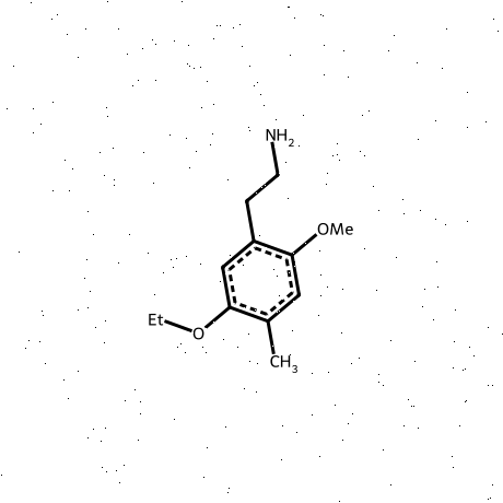 CCOc1cc(CCN)c(OC)cc1C